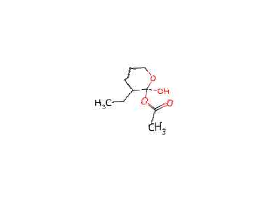 CCC1CCCOC1(O)OC(C)=O